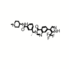 C[C@H](c1cccc(C(=O)NC2CCN(C)CC2)c1)n1cnc2cc(-c3cn[nH]c3C(F)(F)F)ccc2c1=O